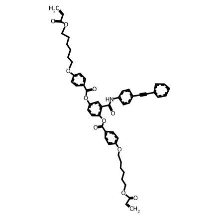 C=CC(=O)OCCCCCCOc1ccc(C(=O)Oc2ccc(OC(=O)c3ccc(OCCCCCCOC(=O)C=C)cc3)c(C(=O)Nc3ccc(C#Cc4ccccc4)cc3)c2)cc1